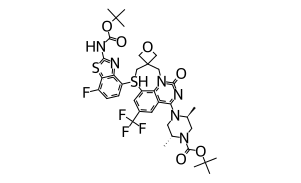 C[C@@H]1CN(c2nc(=O)n3c4c(cc(C(F)(F)F)cc24)[SH](c2ccc(F)c4sc(NC(=O)OC(C)(C)C)nc24)CC2(COC2)C3)[C@@H](C)CN1C(=O)OC(C)(C)C